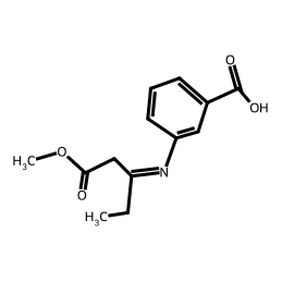 CCC(CC(=O)OC)=Nc1cccc(C(=O)O)c1